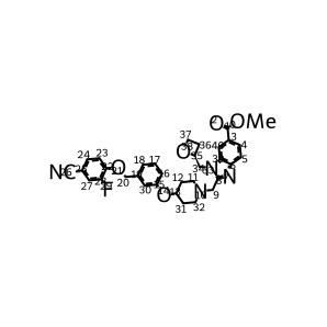 COC(=O)c1ccc2nc(CN3CCC(Oc4cccc(COc5ccc(C#N)cc5F)c4)CC3)n(C[C@@H]3CCO3)c2c1